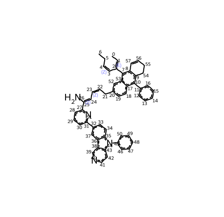 C/C=C(\C=C/CC)c1c2c(c(-c3ccccc3)c3ccc(C/C=C\C=C(/N)c4cccc(-c5ccc6c(c5)c5cnccc5n6-c5ccccc5)n4)cc13)CCC=C2